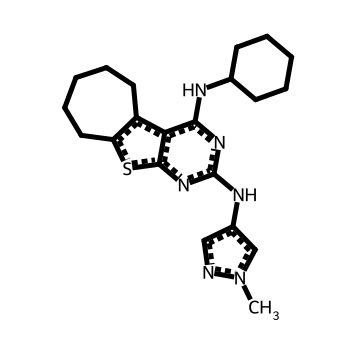 Cn1cc(Nc2nc(NC3CCCCC3)c3c4c(sc3n2)CCCCC4)cn1